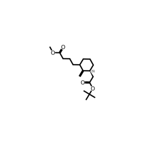 C=C1C(CCCC(=O)OC)CCC[C@H]1CC(=O)OC(C)(C)C